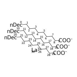 CCCCCCCCCCCCCCCCCCC(=O)[O-].CCCCCCCCCCCCCCCCCCC(=O)[O-].CCCCCCCCCCCCCCCCCCC(=O)[O-].[La+3]